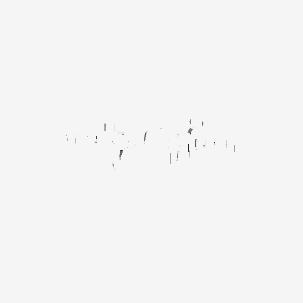 CN(C)C(=O)OCC1=C(C(=O)O)N2C(=O)C(N)[C@@H]2SC1